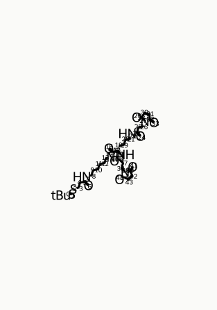 CC(C)(C)SSCCC(=O)NCCCCCCNC(=O)[C@H](CCCCNC(=O)CCN1C(=O)C=CC1=O)NC(=O)CCN1C(=O)C=CC1=O